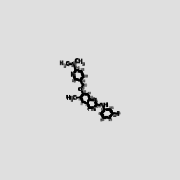 Cc1cc2cnc(Nc3cccc(F)c3)nc2cc1OCc1ccc(N(C)C)nc1